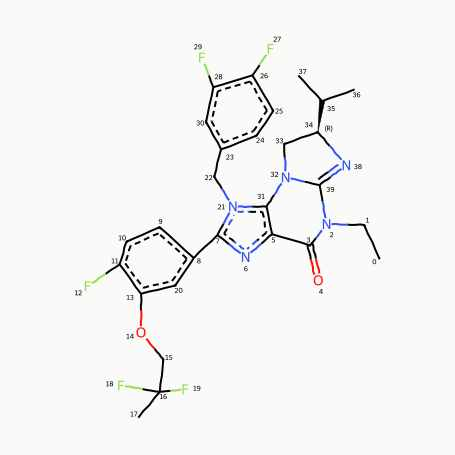 CCN1C(=O)c2nc(-c3ccc(F)c(OCC(C)(F)F)c3)n(Cc3ccc(F)c(F)c3)c2N2C[C@@H](C(C)C)N=C12